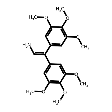 COc1cc(C(=CN)c2cc(OC)c(OC)c(OC)c2)cc(OC)c1OC